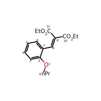 CCCOc1ccccc1C=C(C(=O)OCC)C(=O)OCC